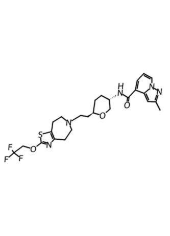 Cc1cc2c(C(=O)N[C@H]3CC[C@H](CCN4CCc5nc(OCC(F)(F)F)sc5CC4)OC3)cccn2n1